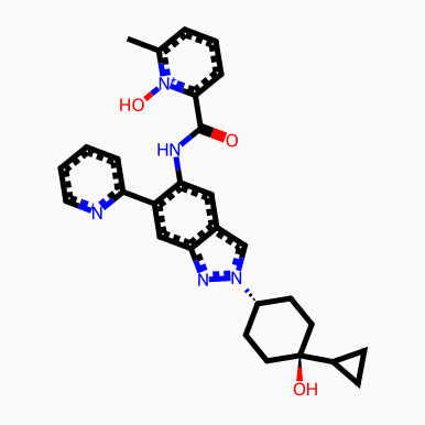 Cc1cccc(C(=O)Nc2cc3cn([C@H]4CC[C@@](O)(C5CC5)CC4)nc3cc2-c2ccccn2)[n+]1O